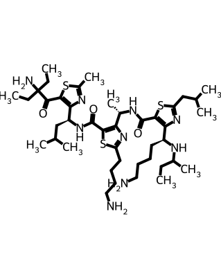 CCC(C)N[C@@H](CCCCN)c1nc(CC(C)C)sc1C(=O)N[C@@H](C)c1nc(CCCCN)sc1C(=O)N[C@@H](CC(C)C)c1nc(C)sc1C(=O)C(N)(CC)CC